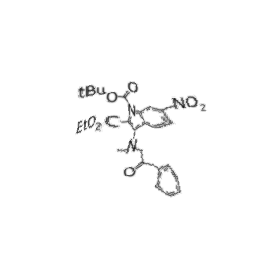 CCOC(=O)c1c(N(C)CC(=O)c2ccccc2)c2ccc([N+](=O)[O-])cc2n1C(=O)OC(C)(C)C